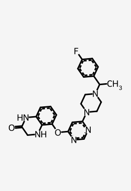 CC(c1ccc(F)cc1)N1CCN(c2cc(Oc3cccc4c3NCC(=O)N4)ncn2)CC1